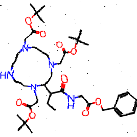 CCC(C(=O)NCC(=O)OCc1ccccc1)C1CN(CC(=O)OC(C)(C)C)CCN(CC(=O)OC(C)(C)C)CCNCCN1CC(=O)OC(C)(C)C